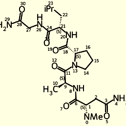 CN[C@@H](CC(N)=O)C(=O)N[C@@H](C)C(=O)N1CCC[C@H]1C(=O)N[C@@H](CC(C)C)C(=O)NCC(N)=O